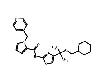 CC(C)(OCC1CCCCO1)c1csc(NC(=O)c2cccn2Cc2ccncc2)n1